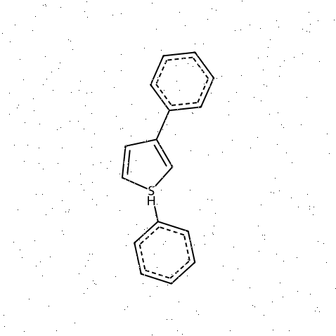 C1=C[SH](c2ccccc2)C=C1c1ccccc1